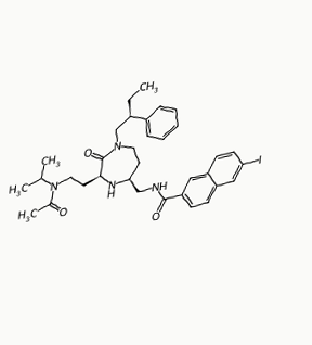 CC[C@H](CN1CC[C@@H](CNC(=O)c2ccc3cc(I)ccc3c2)N[C@@H](CCN(C(C)=O)C(C)C)C1=O)c1ccccc1